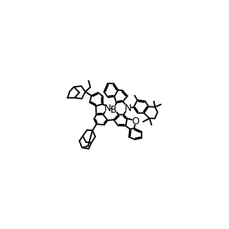 CCC1(c2ccc3c(c2)c2cc(C45CC6CC(CC(C6)C4)C5)cc4c2n3B2c3c-4cc4c(oc5ccccc54)c3N(c3cc4c(cc3C)C(C)(C)CCC4(C)C)c3ccc4ccccc4c32)CC2CCC(C2)C1